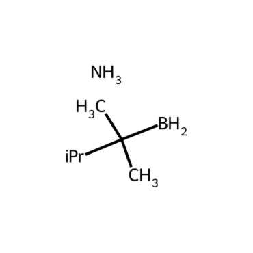 BC(C)(C)C(C)C.N